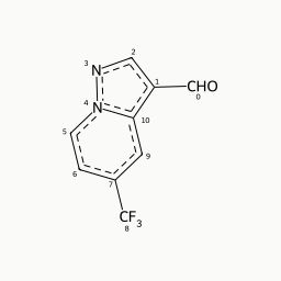 O=Cc1cnn2ccc(C(F)(F)F)cc12